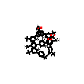 CC(C)(C)C1=Cc2c3n(c4ccc(C(C)(C)C)cc24)-c2c(-c4ccc(C#N)cc4)c(-n4c5ccc(C(C)(C)C)cc5c5cc(C(C)(C)I)ccc54)c(-n4c5ccc(C(C)(C)C)cc5c5cc(C(C)(C)C)ccc54)c(-c4ccc(C#N)cc4)c2-n2c4ccc(C(C)(C)C)cc4c4cc(ccc42)C(C)(C)C1C=C3